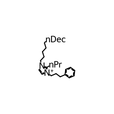 CCCCCCCCCCCCCCCn1cc[n+](CCCc2ccccc2)c1CCC